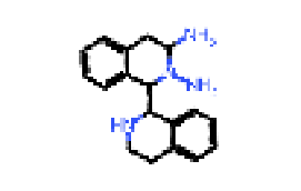 NC1Cc2ccccc2C(C2NCCc3ccccc32)N1N